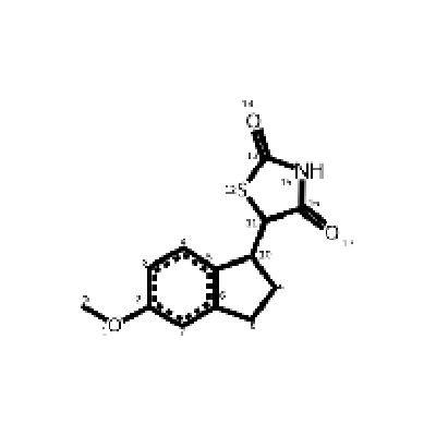 COc1ccc2c(c1)CCC2C1SC(=O)NC1=O